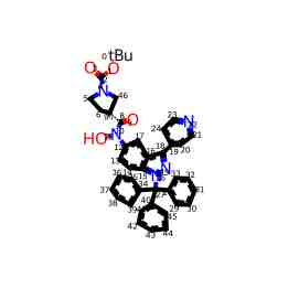 CC(C)(C)OC(=O)N1CC[C@@H](C(=O)N(O)c2ccc3c(c2)c(-c2ccncc2)nn3C(c2ccccc2)(c2ccccc2)c2ccccc2)C1